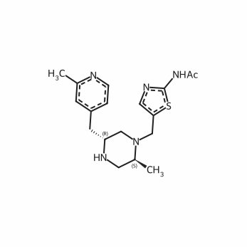 CC(=O)Nc1ncc(CN2C[C@@H](Cc3ccnc(C)c3)NC[C@@H]2C)s1